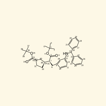 CC(C)(C)OC(=O)[C@@H](Cc1cccc(NC(c2ccccc2)c2ccccc2)c1)[C@H]1CCN(C(=O)OC(C)(C)C)C1